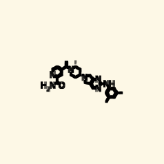 C=C(c1ccnc(C(N)=O)c1)N1CC[C@@H](N2Cc3cnc(Nc4cc(C)cc(C)c4)nc3C2)C[C@H]1C